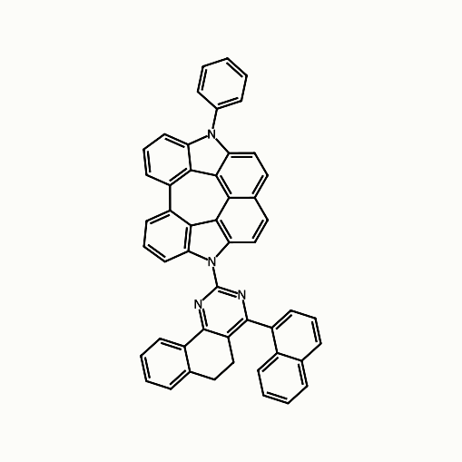 c1ccc(-n2c3cccc4c3c3c5c(ccc32)ccc2c5c3c-4cccc3n2-c2nc3c(c(-c4cccc5ccccc45)n2)CCc2ccccc2-3)cc1